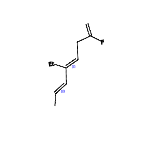 C=C(F)C/C=C(/C=C/C)CC